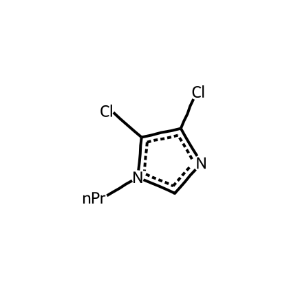 [CH2]CCn1cnc(Cl)c1Cl